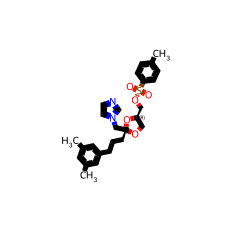 Cc1ccc(S(=O)(=O)OC[C@H]2CO[C@](CCCc3cc(C)cc(C)c3)(Cn3ccnc3)O2)cc1